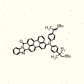 C/C(=C\C(C)(C)C)c1ccc(N(c2ccc(C(C)(C)CC(C)(C)C)cc2)c2ccc3c4ccc5c6c(ccc(c7cccc2c73)c46)c(=O)n2c3ccccc3nc52)cc1